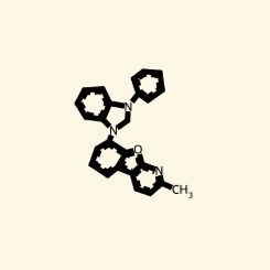 Cc1ccc2c(n1)oc1c(N3CN(c4ccccc4)c4ccccc43)cccc12